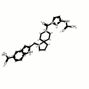 CC(=O)Nc1ccn(C(=O)N2CCC3(CCCN3Cc3cc4cc(C(=O)O)ccc4[nH]3)CC2)n1